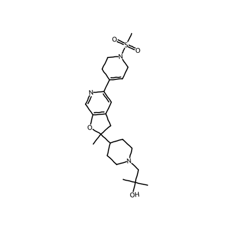 CC(C)(O)CN1CCC(C2(C)Cc3cc(C4=CCN(S(C)(=O)=O)CC4)ncc3O2)CC1